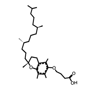 Cc1c(C)c2c(c(C)c1OCCCC(=O)O)CC[C@@](C)(CCC[C@H](C)CCC[C@H](C)CCCC(C)C)O2